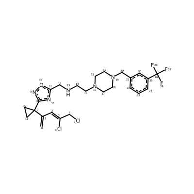 C=C(C=C(Cl)CCl)C1(c2noc(CNCCN3CCN(Cc4cccc(C(F)(F)F)c4)CC3)n2)CC1